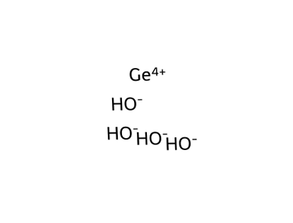 [Ge+4].[OH-].[OH-].[OH-].[OH-]